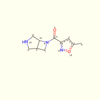 Cc1cc(C(=O)N2CC3CNCC32)no1